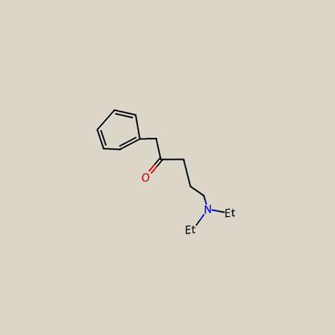 CCN(CC)CCCC(=O)Cc1ccccc1